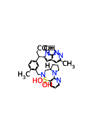 Cc1cc2cc(C(CC(=O)O)c3ccc(C)c(CN4C[C@H]5CCCN5c5ncccc5S4(O)O)c3)n(C)c2nn1